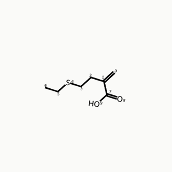 C=C(CCSCC)C(=O)O